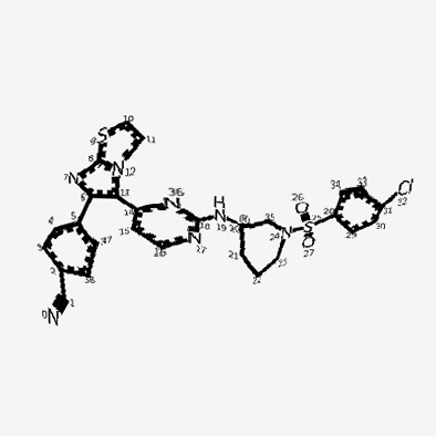 N#Cc1ccc(-c2nc3sccn3c2-c2ccnc(N[C@@H]3CCCN(S(=O)(=O)c4ccc(Cl)cc4)C3)n2)cc1